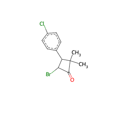 CC1(C)C(=O)C(Br)C1c1ccc(Cl)cc1